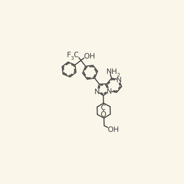 Nc1nccn2c(C34CCC(CO)(CC3)OC4)nc(-c3ccc(C(O)(c4ccccc4)C(F)(F)F)cc3)c12